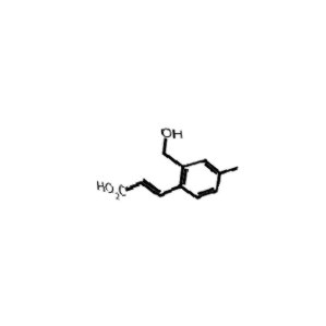 Cc1ccc(C=CC(=O)O)c(CO)c1